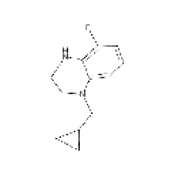 Fc1cccc2c1NCCN2CC1CC1